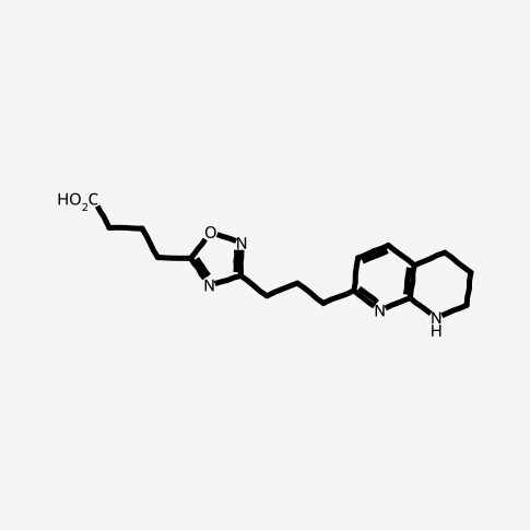 O=C(O)CCCc1nc(CCCc2ccc3c(n2)NCCC3)no1